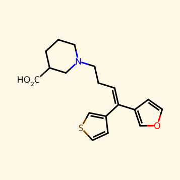 O=C(O)C1CCCN(CCC=C(c2ccoc2)c2ccsc2)C1